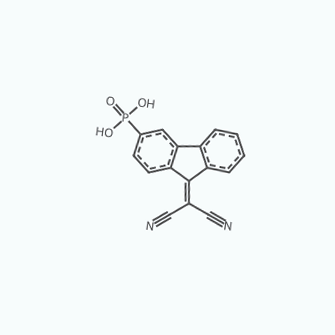 N#CC(C#N)=C1c2ccccc2-c2cc(P(=O)(O)O)ccc21